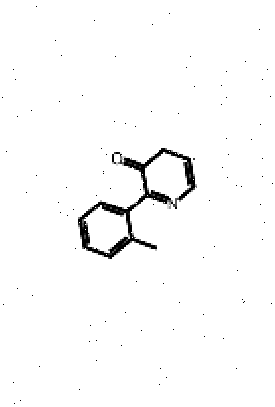 Cc1ccccc1C1=NC=[C]CC1=O